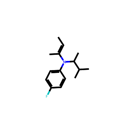 C/C=C(\C)N(c1ccc(F)cc1)C(C)C(C)C